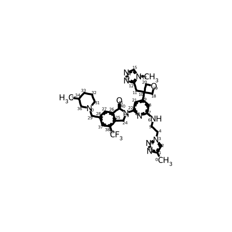 Cc1cn(CCNc2cc(C3(Cc4nncn4C)COC3)cc(N3Cc4c(cc(CN5CCCC(C)C5)cc4C(F)(F)F)C3=O)n2)nn1